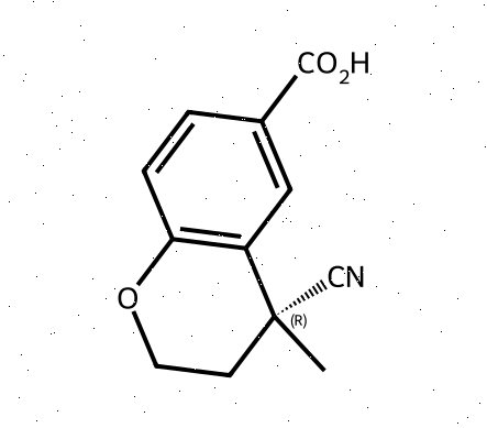 C[C@@]1(C#N)CCOc2ccc(C(=O)O)cc21